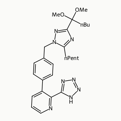 CCCCCc1nc(C(CCCC)(OC)OC)nn1Cc1ccc(-c2cccnc2-c2nnn[nH]2)cc1